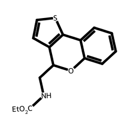 CCOC(=O)NCC1Oc2ccccc2-c2sccc21